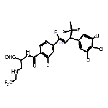 CC(F)(F)C(/C=C(\F)c1ccc(C(=O)NC(C=O)CNCC(F)(F)F)c(Cl)c1)c1cc(Cl)c(Cl)c(Cl)c1